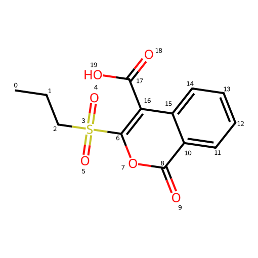 CCCS(=O)(=O)c1oc(=O)c2ccccc2c1C(=O)O